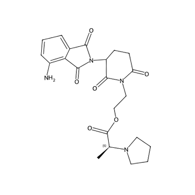 C[C@@H](C(=O)OCCN1C(=O)CCC(N2C(=O)c3cccc(N)c3C2=O)C1=O)N1CCCC1